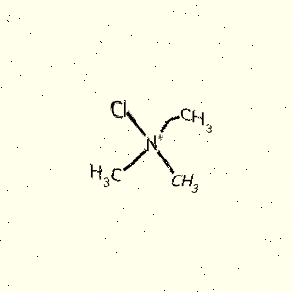 C[N+](C)(C)Cl